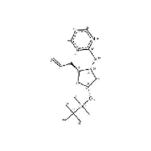 C=CC[C@@H]1C[C@@H](O[Si](C)(C)C(C)(C)C)C[C@H]1Sc1ncccn1